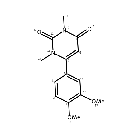 COc1ccc(-c2cc(=O)n(C)c(=O)n2C)cc1OC